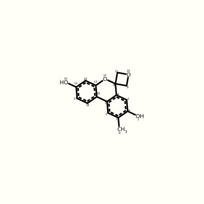 Cc1cc2c(cc1O)C1(COC1)Oc1cc(O)ccc1-2